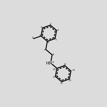 Cc1ccccc1CCNc1ccccc1